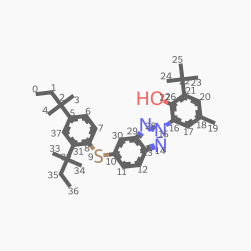 CCC(C)(C)c1ccc(Sc2ccc3nn(-c4cc(C)cc(C(C)(C)C)c4O)nc3c2)c(C(C)(C)CC)c1